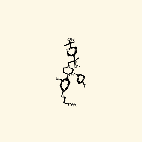 CC(C)(O)c1ccc([C@](C)(O)CN2CCN(c3ccc(OCCO)cc3C#N)[C@H](c3ccc(F)cc3)C2)cn1